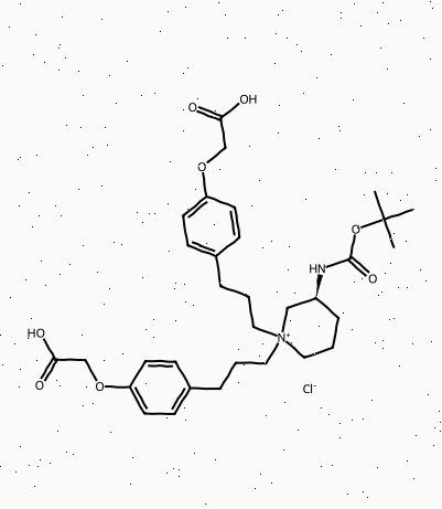 CC(C)(C)OC(=O)N[C@H]1CCC[N+](CCCc2ccc(OCC(=O)O)cc2)(CCCc2ccc(OCC(=O)O)cc2)C1.[Cl-]